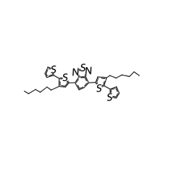 CCCCCCc1cc(-c2ccc(-c3cc(CCCCCC)c(-c4cccs4)s3)c3nsnc23)sc1-c1cccs1